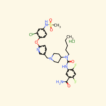 CCCCCN(C(=O)Nc1cc(C(N)=O)c(F)cc1F)C1CCN(Cc2ccc(Oc3ccc(NS(C)(=O)=O)cc3Cl)nc2)CC1.Cl